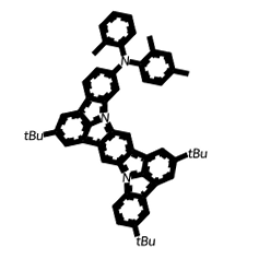 Cc1ccc(N(c2ccc3c4cc(C(C)(C)C)cc5c6cc7c(cc6n(c3c2)c45)c2cc(C(C)(C)C)cc3c4cc(C(C)(C)C)ccc4n7c32)c2ccccc2C)c(C)c1